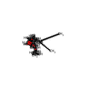 CCCCCCCCCCCCC/C=C/[C@@H](O)[C@H](CO[C@@H]1OC(CO)[C@@H](O[C@@H]2OC(CO)[C@H](O)[C@H](O[C@@H]3OC(CO)[C@@H](O[C@@H]4OC(CO)[C@H](O)[C@H](O[C@@H]5OC(CO)[C@@H](O[C@@H]6OC(CO[C@]7(C(=O)O)CC(O)[C@@H](NC(C)=O)C([C@H](O)[C@H](O)CO)O7)[C@H](O)[C@H](O)C6O)[C@H](O)C5NC(C)=O)C4O)[C@H](O[C@H]4OC(C)[C@@H](O)C(O)[C@@H]4O)C3NC(C)=O)C2O)[C@H](O)C1O)NC(=O)CCCCCCCCCCCCCCCCCCCCC